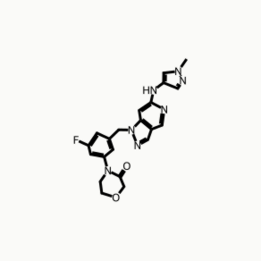 Cn1cc(Nc2cc3c(cn2)cnn3Cc2cc(F)cc(N3CCOCC3=O)c2)cn1